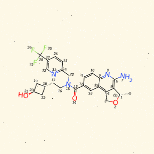 C[C@@H]1OCc2c1c(N)nc1ccc(C(=O)N(CC[C@H]3C[C@H](O)C3)Cc3ccc(C(F)(F)F)cn3)cc21